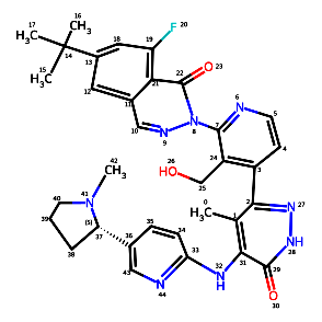 Cc1c(-c2ccnc(-n3ncc4cc(C(C)(C)C)cc(F)c4c3=O)c2CO)n[nH]c(=O)c1Nc1ccc([C@@H]2CCCN2C)cn1